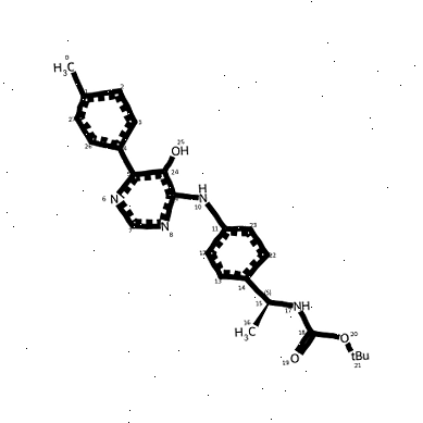 Cc1ccc(-c2ncnc(Nc3ccc([C@H](C)NC(=O)OC(C)(C)C)cc3)c2O)cc1